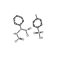 Cc1ccc(S(=O)(=O)O)cc1.O=[N+]([O-])NN(c1ccccc1)[N+](=O)[O-]